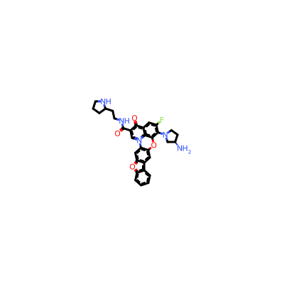 N[C@@H]1CCN(c2c(F)cc3c(=O)c(C(=O)NCCC4CCCN4)cn4c3c2Oc2cc3c(cc2-4)oc2ccccc23)C1